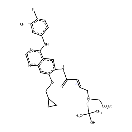 CCOC(=O)CN(C/C=C/C(=O)Nc1cc2c(Nc3ccc(F)c(Cl)c3)ncnc2cc1OCC1CC1)CC(C)(C)O